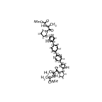 COC(=O)N[C@@H](C)C(=O)N1CCC[C@H]1c1ncc(-c2ccc(-c3ncc(-c4c[nH]c([C@@H]5CCCN5C(=O)[C@H](C)NC(C)OC)n4)cn3)cc2)[nH]1